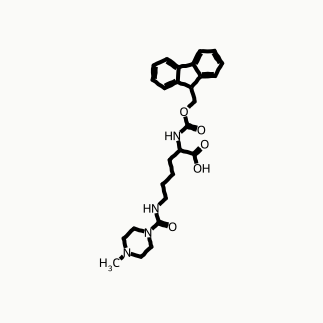 CN1CCN(C(=O)NCCCCC(NC(=O)OCC2c3ccccc3-c3ccccc32)C(=O)O)CC1